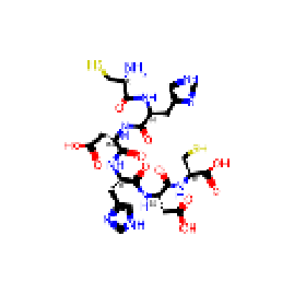 N[C@@H](CS)C(=O)N[C@@H](Cc1c[nH]cn1)C(=O)N[C@@H](CC(=O)O)C(=O)N[C@@H](Cc1c[nH]cn1)C(=O)N[C@@H](CC(=O)O)C(=O)N[C@@H](CS)C(=O)O